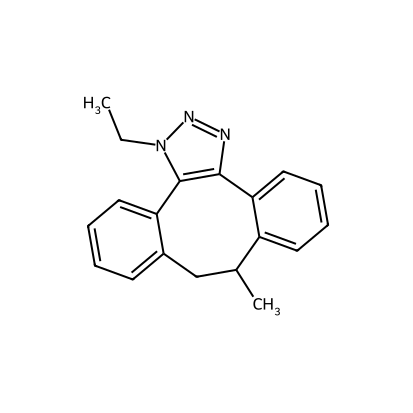 CCn1nnc2c1-c1ccccc1CC(C)c1ccccc1-2